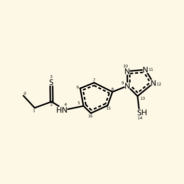 CCC(=S)Nc1ccc(-n2nnnc2S)cc1